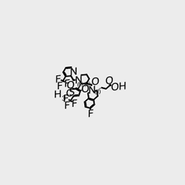 CCC[C@H]1N(C(=O)c2ncccc2C(F)(F)F)CCC[C@]1(Oc1csc(C(F)(F)F)c1)C(=O)N1Cc2ccc(F)cc2C[C@H]1CCC(=O)O